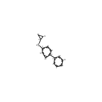 [c]1ccc(-c2ccc(SC3CC3)cc2)cc1